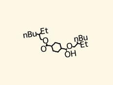 CCCCC(CC)COC(=O)C1CCC([C@H](O)OCC(CC)CCCC)CC1